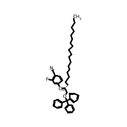 CCCCCCCCCCCCCCCCCCC[C@H](COC(c1ccccc1)(c1ccccc1)c1ccccc1)Oc1ccc(C#N)c(F)c1